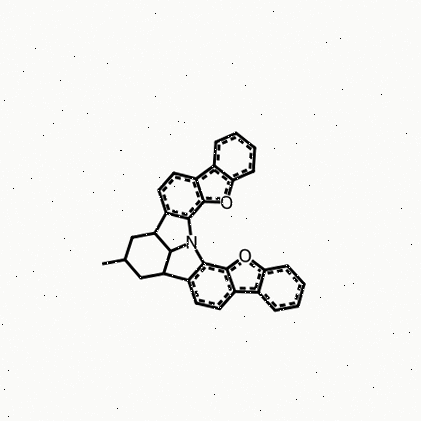 CC1CC2c3ccc4c(oc5ccccc54)c3N3c4c(ccc5c4oc4ccccc45)C(C1)C23